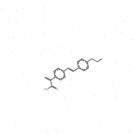 C=C(C(=O)O)c1ccc(C=Cc2ccc(CCC)cc2)cc1